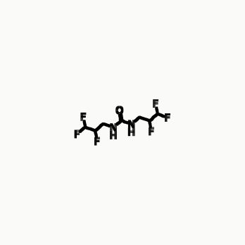 O=C(NCC(F)C(F)F)NCC(F)C(F)F